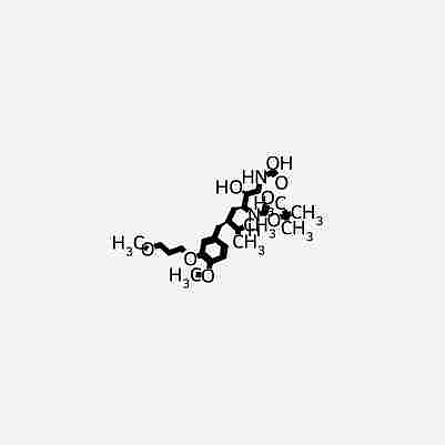 COCCCOc1cc(C[C@@H](C[C@H](NC(=O)OC(C)(C)C)[C@@H](O)CNC(=O)O)C(C)C)ccc1OC